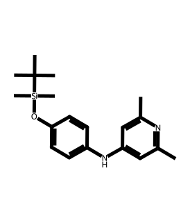 Cc1cc(Nc2ccc(O[Si](C)(C)C(C)(C)C)cc2)cc(C)n1